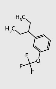 CCC(CC)c1cccc(OC(F)(F)F)c1